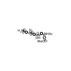 COC(=O)N1CCN(C(NC(C)=O)c2cccc(NC(=O)Nc3ccc(S(=O)(=O)NCc4ccc(S(N)(=O)=O)cc4)cc3)c2)CC1